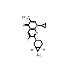 N[C@@H]1[C@H]2CN(c3nc4c(cc3F)c(=O)c(C(=O)O)cn4C3CC3)CC[C@@H]12